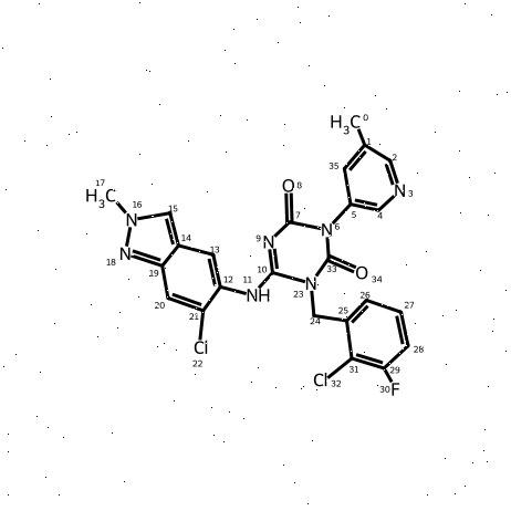 Cc1cncc(-n2c(=O)nc(Nc3cc4cn(C)nc4cc3Cl)n(Cc3cccc(F)c3Cl)c2=O)c1